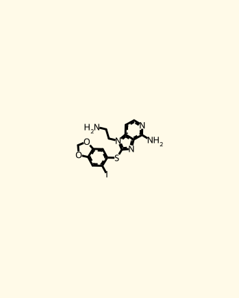 NCCn1c(Sc2cc3c(cc2I)OCO3)nc2c(N)nccc21